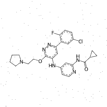 O=C(Nc1cc(Nc2cc(-c3cc(Cl)ccc3F)nnc2OCCN2CCCC2)ccn1)C1CC1